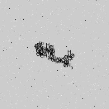 Cn1nc(C2CCC(=O)NC2=O)c2ccc(N3CCC(CN4CCCN(c5ncc(Cl)c(Nc6ccc7c(c6)c6c(c(=O)n7C)OCC(F)(F)C(C7CC7)N6)n5)CC4)CC3)cc21